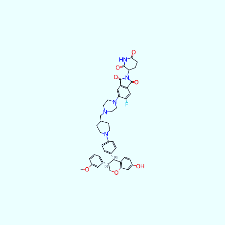 COc1cccc([C@H]2COc3cc(O)ccc3[C@H]2c2ccc(N3CCC(CN4CCN(c5cc6c(cc5F)C(=O)N(C5CCC(=O)NC5=O)C6=O)CC4)CC3)cc2)c1